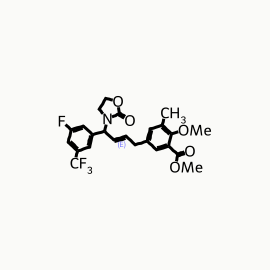 COC(=O)c1cc(C/C=C/C(c2cc(F)cc(C(F)(F)F)c2)N2CCOC2=O)cc(C)c1OC